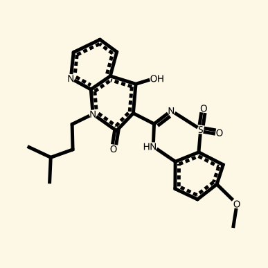 COc1ccc2c(c1)S(=O)(=O)N=C(c1c(O)c3cccnc3n(CCC(C)C)c1=O)N2